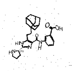 O=C(O)c1cccc(NC(=O)c2nc([C@@H]3CCCN3)[nH]c2CCC23CC4CC(CC(C4)C2)C3)c1